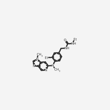 CCNC(=O)NCc1ccc(N(C)c2cc3c(cn2)ncn3C)c(CC)c1